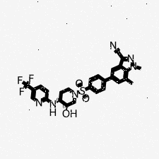 Cc1cc(-c2ccc(S(=O)(=O)N3CC[C@@H](Nc4ccc(C(F)(F)F)cn4)[C@@H](O)C3)cc2)cc2c(C#N)nn(C)c12